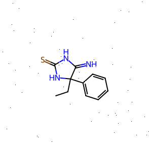 CCC1(c2ccccc2)NC(=S)NC1=N